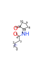 C/C=C\CC(=O)N[C@H]1CCCC1=O